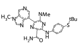 CNc1nc(Nc2ccc(SC(C)(C)C)cc2)c(C(N)=O)nc1-c1cncc2c1ncn2C